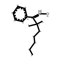 CCCCCC(C)(C)C(=[NH+][O-])c1ccccc1